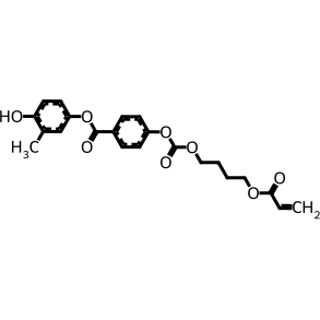 C=CC(=O)OCCCCOC(=O)Oc1ccc(C(=O)Oc2ccc(O)c(C)c2)cc1